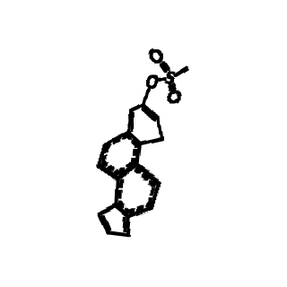 CS(=O)(=O)OC1=CCc2c(ccc3c4c(ccc23)=CC=C4)=C1